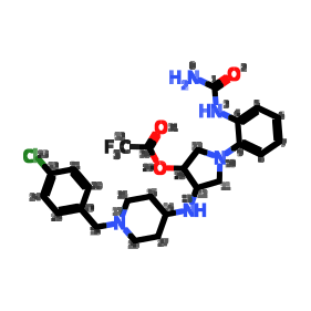 NC(=O)Nc1ccccc1N1CC(NC2CCN(Cc3ccc(Cl)cc3)CC2)C(OC(=O)C(F)(F)F)C1